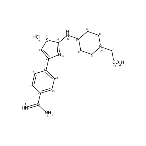 Cl.N=C(N)c1ccc(-c2csc(NC3CCN(CC(=O)O)CC3)n2)cc1